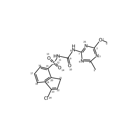 COc1nc(C)nc(NC(=O)NS(=O)(=O)c2cccc3c2CC=C3Cl)n1